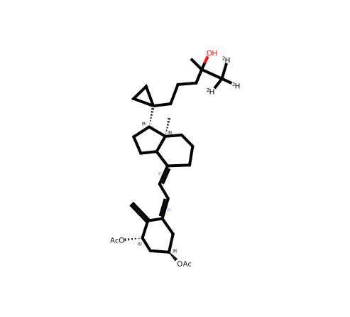 [2H]C([2H])([2H])C(C)(O)CCCC1([C@H]2CCC3/C(=C/C=C4/C[C@@H](OC(C)=O)C[C@H](OC(C)=O)C4=C)CCC[C@@]32C)CC1